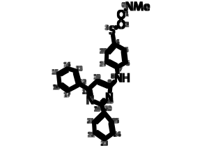 CNOOSc1ccc(Nc2cc(-c3ccccc3)nc(-c3ccccc3)n2)cc1